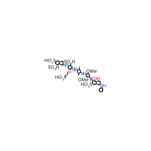 COc1cc(N=Nc2c(S(=O)(=O)O)cc3cc(Nc4ccccc4)ccc3c2O)c(OC)cc1N=Nc1cc(C)c(N=Nc2cc(C)c(N=Nc3cc4c(S(=O)(=O)O)cc(S(=O)(=O)O)cc4cc3S(=O)(=O)O)cc2OCCCS(=O)(=O)O)cc1C